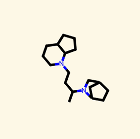 CC(CCN1CCCC2CCCC21)N1CC2CCC1C2